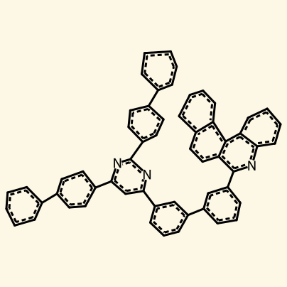 c1ccc(-c2ccc(-c3cc(-c4cccc(-c5cccc(-c6nc7ccccc7c7c6ccc6ccccc67)c5)c4)nc(-c4ccc(-c5ccccc5)cc4)n3)cc2)cc1